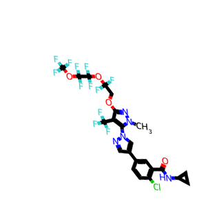 Cn1nc(OCC(F)(F)OC(F)(F)C(F)(F)OC(F)(F)F)c(C(F)(F)F)c1-n1cc(-c2ccc(Cl)c(C(=O)NC3CC3)c2)cn1